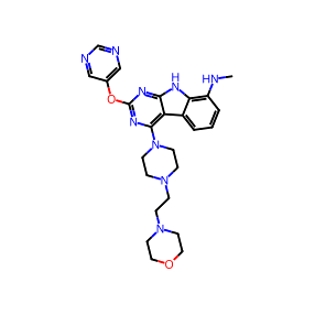 CNc1cccc2c1[nH]c1nc(Oc3cncnc3)nc(N3CCN(CCN4CCOCC4)CC3)c12